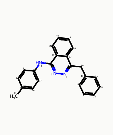 Cc1ccc(Nc2nnc(Cc3ccccc3)c3ccccc23)cc1